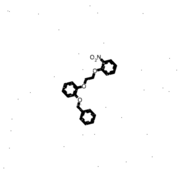 O=[N+]([O-])c1ccccc1OCCOc1ccccc1OCc1ccccc1